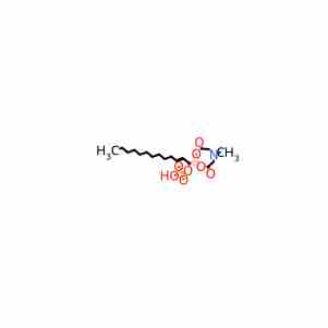 CCCCCCCCCCC=CC(OS(=O)(=O)O)B1OC(=O)CN(C)CC(=O)O1